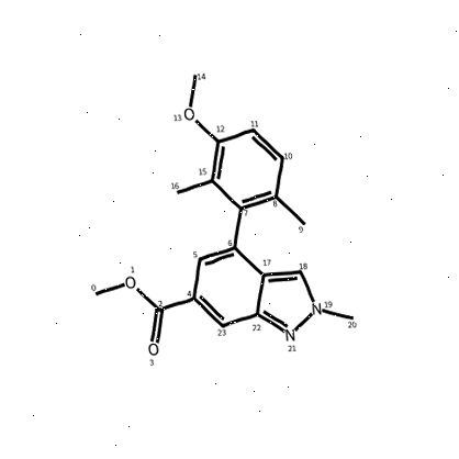 COC(=O)c1cc(-c2c(C)ccc(OC)c2C)c2cn(C)nc2c1